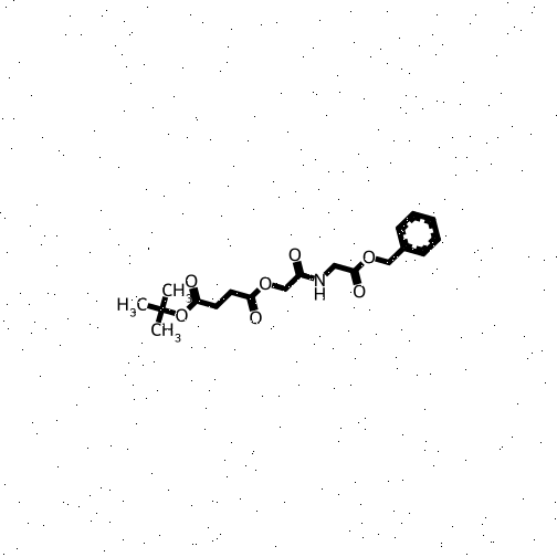 CC(C)(C)OC(=O)CCC(=O)OCC(=O)NCC(=O)OCc1ccccc1